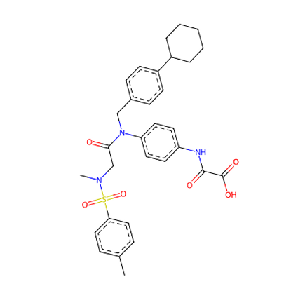 Cc1ccc(S(=O)(=O)N(C)CC(=O)N(Cc2ccc(C3CCCCC3)cc2)c2ccc(NC(=O)C(=O)O)cc2)cc1